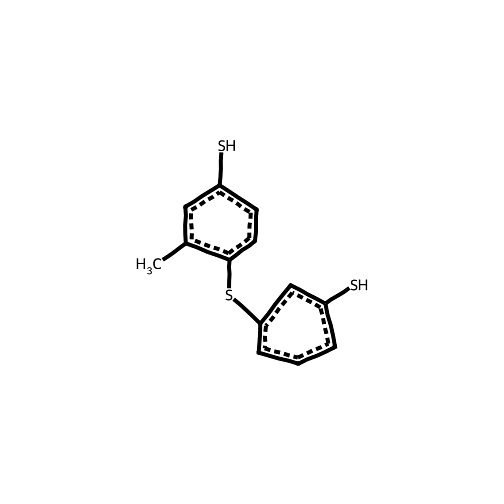 Cc1cc(S)ccc1Sc1cccc(S)c1